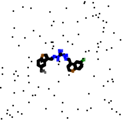 Cc1ccc2scc(/C=N/NC(=N)N/N=C/C3=CCSc4ccc(Cl)cc43)c2c1